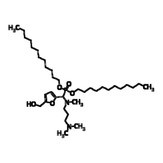 CCCCCCCCCCCCOP(=O)(OCCCCCCCCCCCC)C(c1ccc(CO)o1)N(C)CCCN(C)C